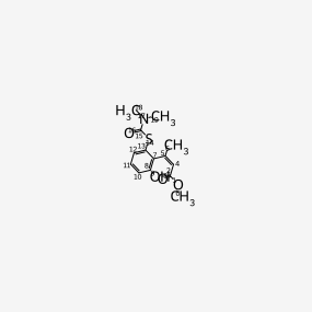 COC(=O)/C=C(/C)c1c(O)cccc1SC(=O)N(C)C